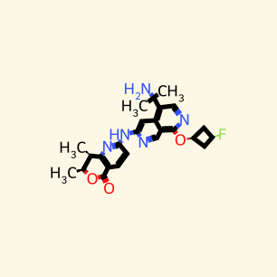 C[C@@H]1OC(=O)c2ccc(Nc3cc4c(C(C)(C)N)cnc(O[C@H]5C[C@@H](F)C5)c4cn3)nc2[C@H]1C